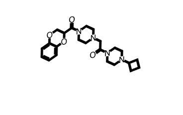 O=C(CN1CCN(C(=O)C2COc3ccccc3O2)CC1)N1CCN(C2CCC2)CC1